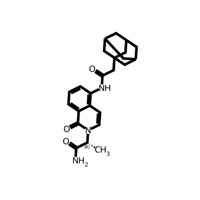 C[C@H](C(N)=O)n1ccc2c(NC(=O)CC34CC5CC(CC(C5)C3)C4)cccc2c1=O